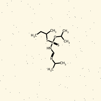 CCC(C)SP(=S)(NC=NC(C)C)OC(C)C